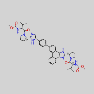 COC(=O)NC(C(=O)N1CCC[C@H]1c1ncc(-c2ccc(-c3ccc4c(c3)c3ccccc3c3nc([C@@H]5CCCN5C(=O)[C@@H](NC(=O)OC)C(C)C)[nH]c43)cc2)[nH]1)C(C)C